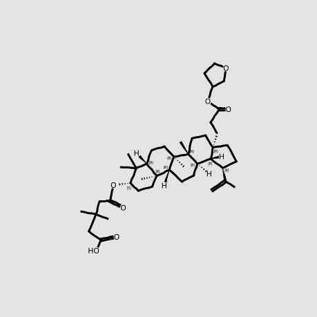 C=C(C)[C@@H]1CC[C@]2(CCC(=O)OC3CCOC3)CC[C@]3(C)[C@H](CC[C@@H]4[C@@]5(C)CC[C@H](OC(=O)CC(C)(C)CC(=O)O)C(C)(C)[C@@H]5CC[C@]43C)[C@@H]12